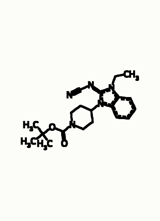 CCn1/c(=N/C#N)n(C2CCN(C(=O)OC(C)(C)C)CC2)c2ccccc21